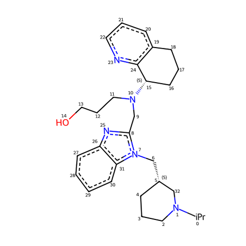 CC(C)N1CCC[C@H](Cn2c(CN(CCCO)[C@H]3CCCc4cccnc43)nc3ccccc32)C1